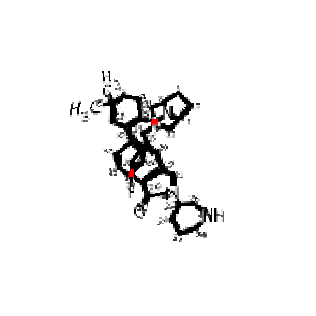 CC1(C)CCC(CN2C3CCC2CN(Cc2ccc4c(c2)CN(C2CCCNC2)C4=O)C3)=C(c2ccc(F)cc2)C1